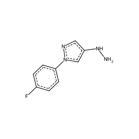 NNc1cnn(-c2ccc(F)cc2)c1